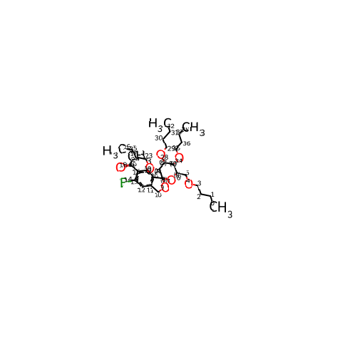 CCCCOC[C@H]1O[C@]2(OCc3cc(F)c(C(C)=O)cc32)[C@H](OCCCC)[C@@H](OCCCC)[C@@H]1OCCCC